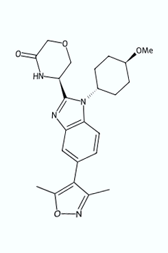 CO[C@H]1CC[C@H](n2c([C@@H]3COCC(=O)N3)nc3cc(-c4c(C)noc4C)ccc32)CC1